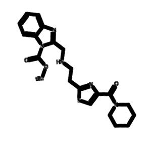 CC(C)(C)OC(=O)n1c(CNCCc2nc(C(=O)N3CCCCC3)cs2)nc2ccccc21